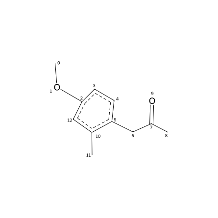 COc1ccc(CC(C)=O)c(C)c1